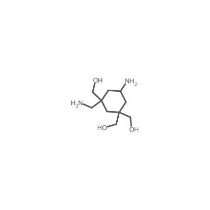 NCC1(CO)CC(N)CC(CO)(CO)C1